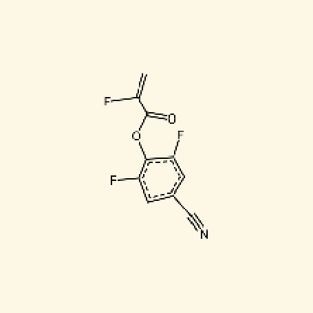 C=C(F)C(=O)Oc1c(F)cc(C#N)cc1F